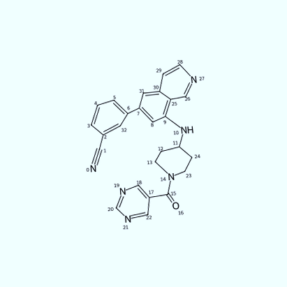 N#Cc1cccc(-c2cc(NC3CCN(C(=O)c4cncnc4)CC3)c3cnccc3c2)c1